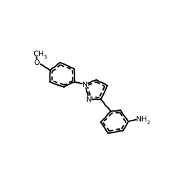 COc1ccc(-n2ccc(-c3cccc(N)c3)n2)cc1